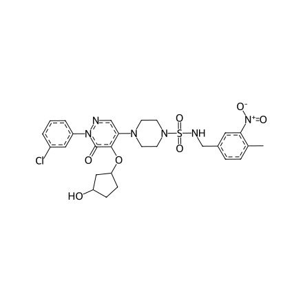 Cc1ccc(CNS(=O)(=O)N2CCN(c3cnn(-c4cccc(Cl)c4)c(=O)c3OC3CCC(O)C3)CC2)cc1[N+](=O)[O-]